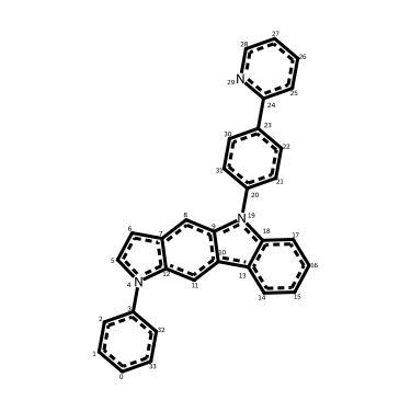 c1ccc(-n2ccc3cc4c(cc32)c2ccccc2n4-c2ccc(-c3ccccn3)cc2)cc1